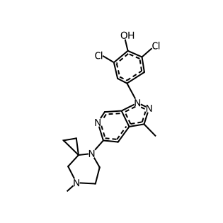 Cc1nn(-c2cc(Cl)c(O)c(Cl)c2)c2cnc(N3CCN(C)CC34CC4)cc12